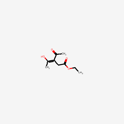 CCOC(=O)C/C(C(C)=O)=C(\C)O